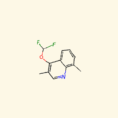 Cc1cnc2c(C)cccc2c1OC(F)F